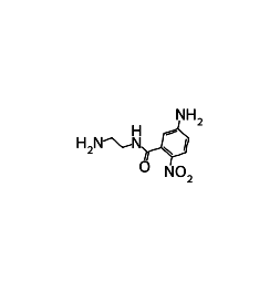 NCCNC(=O)c1cc(N)ccc1[N+](=O)[O-]